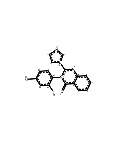 O=c1c2ccccc2nc(-n2ccnc2)n1-c1ccc(Cl)cc1Cl